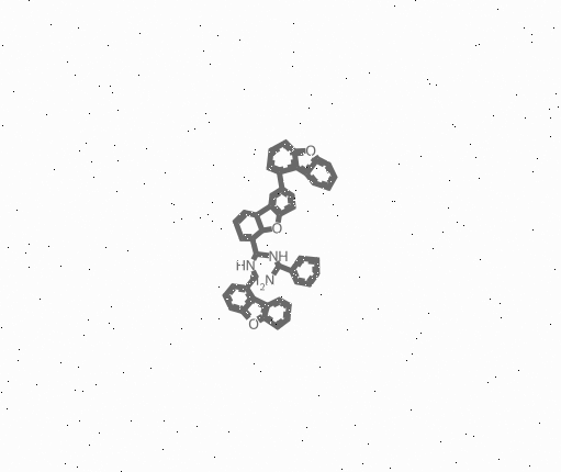 NC(NC(NCc1cccc2oc3ccccc3c12)C1=CC=CC2c3cc(-c4cccc5oc6ccccc6c45)ccc3OC12)c1ccccc1